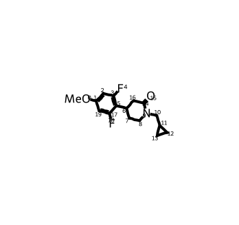 COc1cc(F)c(C2CCN(CC3CC3)C(=O)C2)c(F)c1